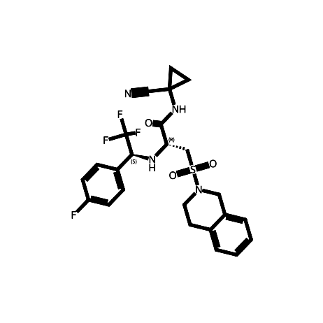 N#CC1(NC(=O)[C@H](CS(=O)(=O)N2CCc3ccccc3C2)N[C@@H](c2ccc(F)cc2)C(F)(F)F)CC1